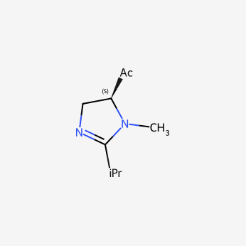 CC(=O)[C@@H]1CN=C(C(C)C)N1C